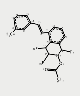 CC(=O)ON1C(F)c2cccc(C=Cc3cccc(C)c3)c2C(F)C1F